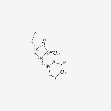 CC[C@H]1CN(CN2CCOCC2)C(=O)O1